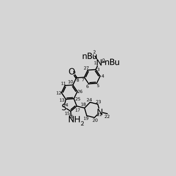 CCCCN(CCCC)c1cccc(C(=O)c2ccc3sc(N)c(C4CCN(C)CC4)c3c2)c1